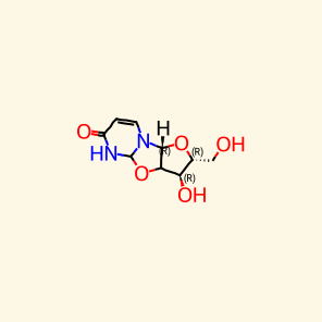 O=C1C=CN2C(N1)OC1[C@H]2O[C@H](CO)[C@H]1O